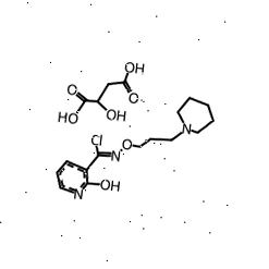 O=C(O)CC(O)C(=O)O.Oc1ncccc1C(Cl)=NOCCCN1CCCCC1